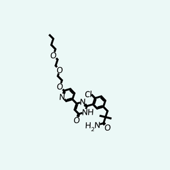 CCCCOCCOCCOc1ccc(-c2cc(=O)[nH]c(-c3cc(CC(C)(C)C(N)=O)ccc3Cl)n2)cn1